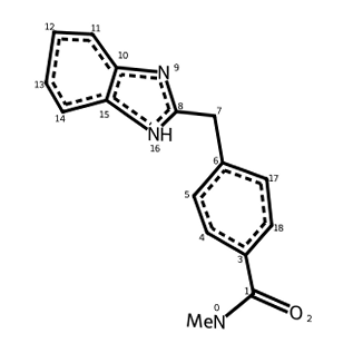 CNC(=O)c1ccc(Cc2nc3ccccc3[nH]2)cc1